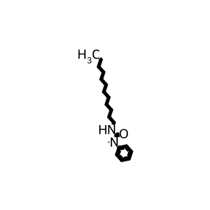 CCCCCCCCCCCCNC(=O)[N]c1ccccc1